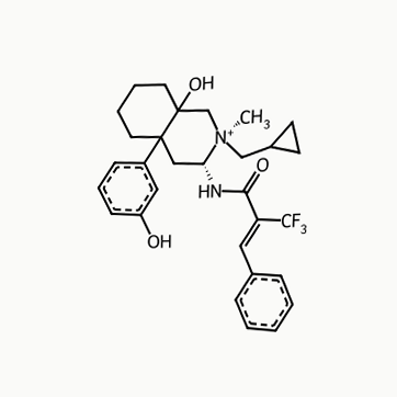 C[N@@+]1(CC2CC2)CC2(O)CCCCC2(c2cccc(O)c2)C[C@H]1NC(=O)C(=Cc1ccccc1)C(F)(F)F